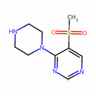 CS(=O)(=O)c1cn[c]nc1N1CCNCC1